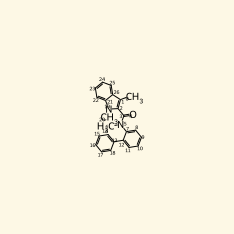 Cc1c(C(=O)N(C)c2ccccc2-c2ccccc2)n(C)c2ccccc12